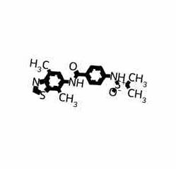 Cc1cc(NC(=O)c2ccc(N[S+]([O-])C(C)C)cc2)c(C)c2scnc12